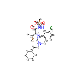 Cc1sc(N(CCC2CCCCC2)Cc2ccc(Cl)cc2)nc1C(=O)NS(C)(=O)=O